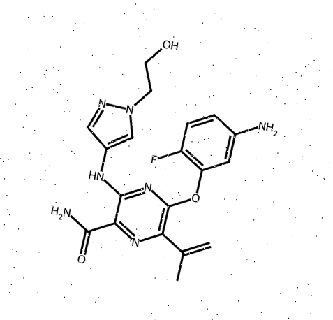 C=C(C)c1nc(C(N)=O)c(Nc2cnn(CCO)c2)nc1Oc1cc(N)ccc1F